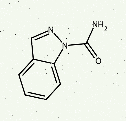 NC(=O)n1n[c]c2ccccc21